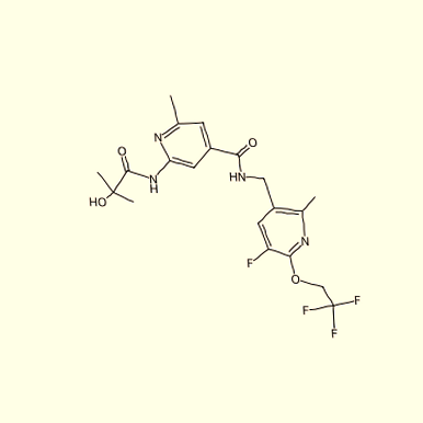 Cc1cc(C(=O)NCc2cc(F)c(OCC(F)(F)F)nc2C)cc(NC(=O)C(C)(C)O)n1